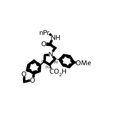 CCCNC(=O)CN1C[C@H](c2ccc3c(c2)OCO3)[C@H](C(=O)O)[C@H]1c1ccc(OC)cc1